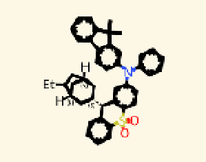 CCC1C[C@H]2C[C@@H]1C[C@@H](C1c3ccccc3S(=O)(=O)c3ccc(N(c4ccccc4)c4ccc5c(c4)C(C)(C)c4ccccc4-5)cc31)C2